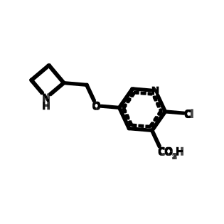 O=C(O)c1cc(OCC2CCN2)cnc1Cl